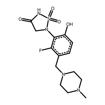 CN1CCN(Cc2ccc(O)c(N3CC(=O)NS3(=O)=O)c2F)CC1